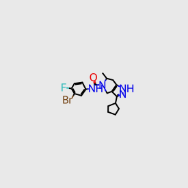 CC1Cc2[nH]nc(C3CCCC3)c2CN1C(=O)Nc1ccc(F)c(Br)c1